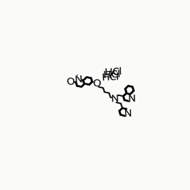 Cl.Cl.Cl.Cn1c(=O)ccc2cc(OCCCCCN(CCc3cccnc3)Cc3ccnc4ccccc34)ccc21